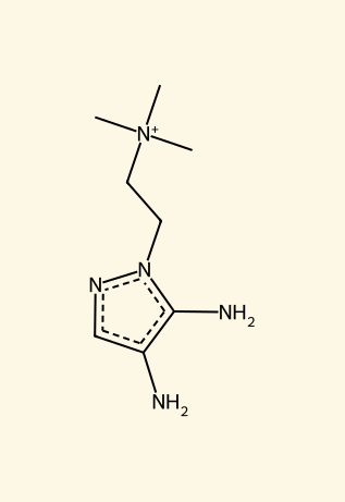 C[N+](C)(C)CCn1ncc(N)c1N